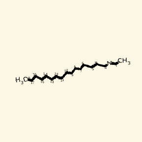 CC=NCCCCCCCCCCCCCCCC